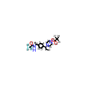 CCC(c1ccc([C@H](C)NC(=O)C(F)(F)F)cc1)N1CCN(OC(=O)C(C)(C)C)CC1